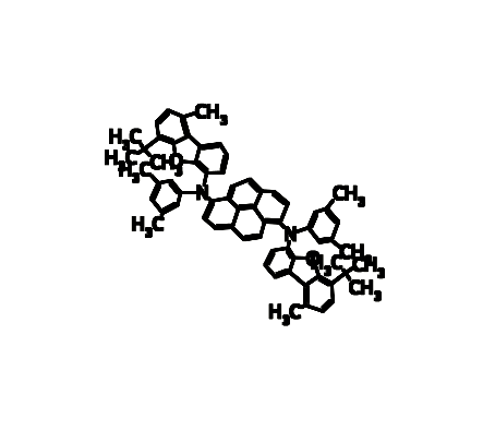 Cc1cc(C)cc(N(c2ccc3ccc4c(N(c5cc(C)cc(C)c5)c5cccc6c5oc5c(C(C)(C)C)ccc(C)c56)ccc5ccc2c3c54)c2cccc3c2oc2c(C(C)(C)C)ccc(C)c23)c1